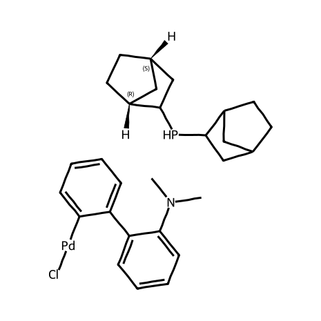 C1CC2CC1CC2PC1C[C@H]2CC[C@@H]1C2.CN(C)c1ccccc1-c1cccc[c]1[Pd][Cl]